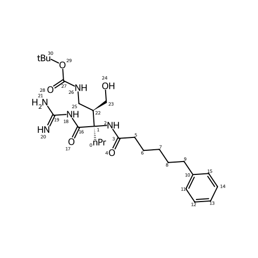 CCC[C@](NC(=O)CCCCCc1ccccc1)(C(=O)NC(=N)N)[C@H](CO)CNC(=O)OC(C)(C)C